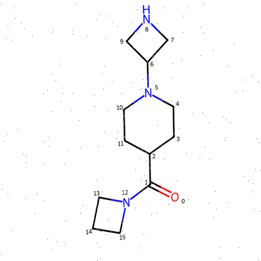 O=C(C1CCN(C2CNC2)CC1)N1CCC1